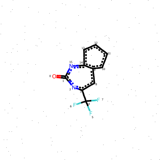 O=c1nc(C(F)(F)F)cc2ccccc2n1